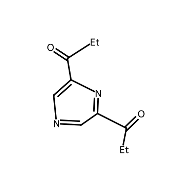 CCC(=O)c1cncc(C(=O)CC)n1